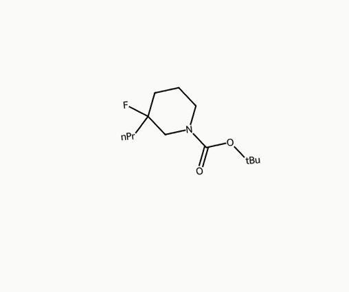 CCCC1(F)CCCN(C(=O)OC(C)(C)C)C1